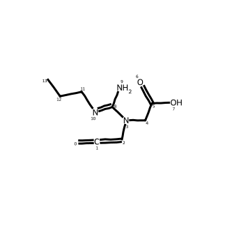 C=C=CN(CC(=O)O)C(N)=NCCC